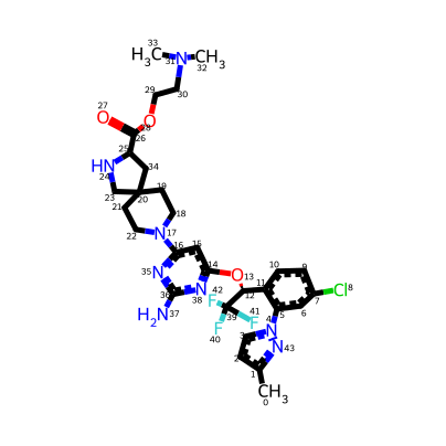 Cc1ccn(-c2cc(Cl)ccc2[C@@H](Oc2cc(N3CCC4(CC3)CNC(C(=O)OCCN(C)C)C4)nc(N)n2)C(F)(F)F)n1